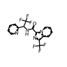 O=C(NC(c1ccccn1)C(F)(F)F)c1nc(C(F)(F)F)c2ccccn12